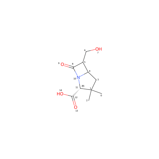 CC1(C)CC2C(CO)C(=O)N2[C@H]1C(=O)O